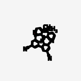 C[Si]1(C)c2ccccc2B(n2c3c(C#N)cc(C#N)cc3c3cc(C#N)cc(C#N)c32)c2ccccc21